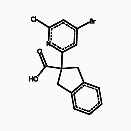 O=C(O)C1(c2cc(Br)cc(Cl)n2)Cc2ccccc2C1